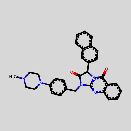 CN1CCN(c2ccc(CN3C(=O)C(c4ccc5ccccc5c4)n4c3nc3ccccc3c4=O)cc2)CC1